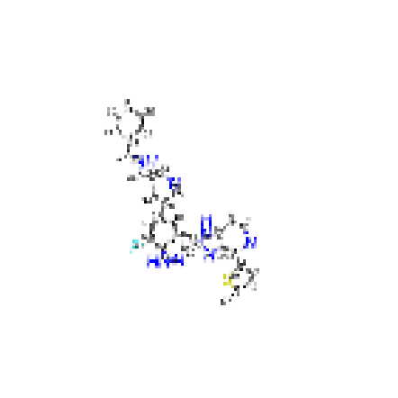 Cc1ccc(-c2nccc3[nH]c(-c4n[nH]c5c(F)cc(-c6cncc(CNCc7ccccc7)c6)cc45)nc23)s1